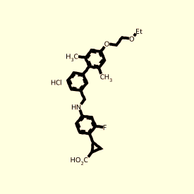 CCOCCOc1cc(C)c(-c2cccc(CNc3ccc(C4CC4C(=O)O)c(F)c3)c2)c(C)c1.Cl